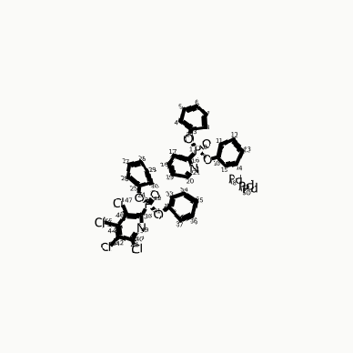 O=P(Oc1ccccc1)(Oc1ccccc1)c1ccccn1.O=P(Oc1ccccc1)(Oc1ccccc1)c1nc(Cl)c(Cl)c(Cl)c1Cl.[Pd].[Pd].[Pd]